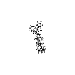 O=C(NC(c1ccccc1)c1ccccc1)[C@H]1C[C@H]2CN(S(=O)(=O)c3ccc(F)c(C(F)(F)F)c3)CCN2C1